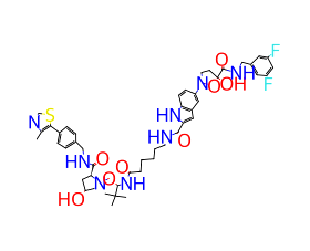 Cc1ncsc1-c1ccc(CNC(=O)[C@@H]2C[C@@H](O)CN2OC(NC(=O)CCCCCNC(=O)c2cc3cc(N4CCC(O)(C(=O)NCc5cc(F)cc(F)c5)O4)ccc3[nH]2)C(C)(C)C)cc1